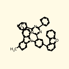 Cc1ccc2c(c1)c1cc(C)ccc1n2-c1ccc(-c2cccc3oc4ccccc4c23)cc1-c1nc(-c2ccccc2)nc(-c2ccccc2)n1